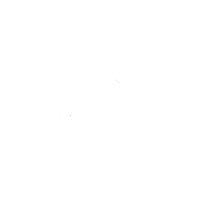 CC1(C)CON(Cc2ccc(N3C(=O)c4ccccc4C3=O)c3ccccc23)C1=O